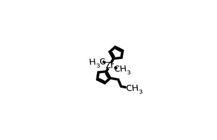 CCCC1=[C]([Zr]([CH3])([CH3])[C]2=CC=CC2)CC=C1